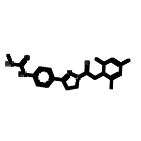 CNC(=O)Nc1ccc(C2=NN(C(=O)CC3C(C)=CC(C)=CC3C)CC2)cc1